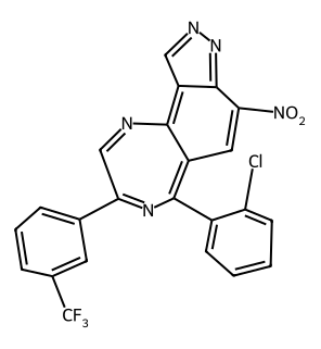 O=[N+]([O-])c1cc2c(-c3ccccc3Cl)nc(-c3cccc(C(F)(F)F)c3)cnc2c2cnnc12